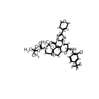 CC1CC2(CCN1C(=O)OC(C)(C)C)OCCc1c2c(=O)n2nc(C3=CCOCC3)nc2n1CC(=O)Nc1ccc(C(F)(F)F)cc1Cl